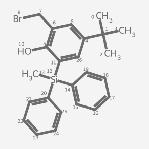 CC(C)(C)c1cc(CBr)c(O)c([Si](C)(c2ccccc2)c2ccccc2)c1